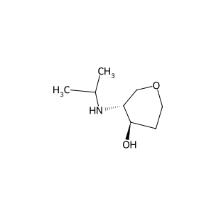 CC(C)N[C@@H]1COCC[C@H]1O